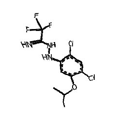 CC(C)Oc1cc(NNC(=N)C(F)(F)F)c(Cl)cc1Cl